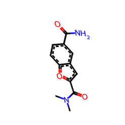 CN(C)C(=O)c1cc2cc(C(N)=O)ccc2o1